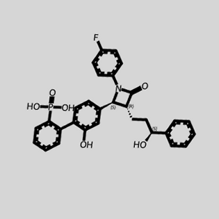 O=C1[C@H](CC[C@H](O)c2ccccc2)[C@@H](c2ccc(-c3ccccc3P(=O)(O)O)c(O)c2)N1c1ccc(F)cc1